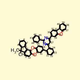 CC1(C)c2ccccc2-c2c1ccc1c2Oc2ccc(-c3ccccc3-c3cc(-c4ccc5c(c4)oc4ccccc45)nc(-c4ccccc4)n3)cc2O1